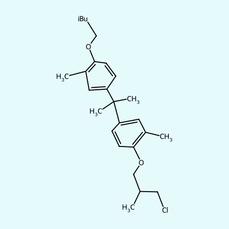 CCC(C)COc1ccc(C(C)(C)c2ccc(OCC(C)CCl)c(C)c2)cc1C